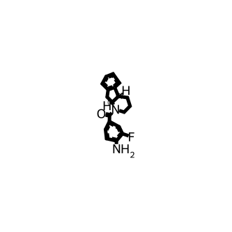 Nc1ccc(C(=O)N2CCC[C@@H]3c4ccccc4C[C@@H]32)cc1F